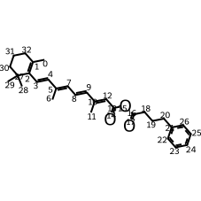 CC1=C(/C=C/C(C)=C/C=C/C(C)=C/C(=O)OC(=O)CCCc2ccccc2)C(C)(C)CCC1